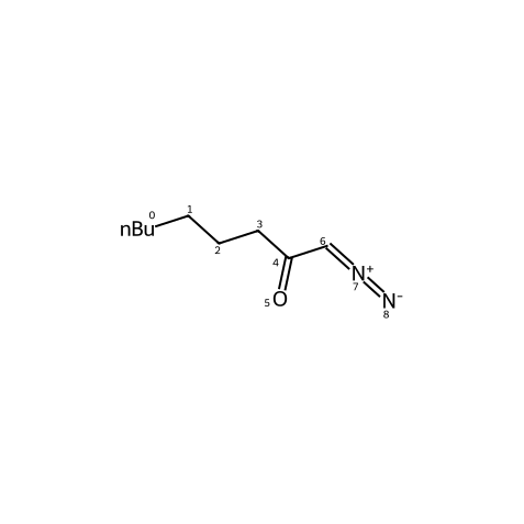 CCCCCCCC(=O)C=[N+]=[N-]